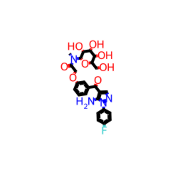 CN(C(=O)COc1cccc(C(=O)c2cnn(-c3ccc(F)cc3)c2N)c1)C1OC(CO)C(O)C(O)C1O